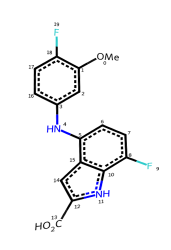 COc1cc(Nc2ccc(F)c3[nH]c(C(=O)O)cc23)ccc1F